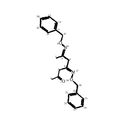 CC(=O)C/C(C/C(C)=N/OCc1ccccc1)=N\OCc1ccccc1